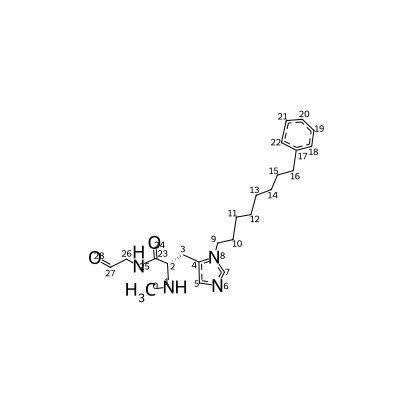 CN[C@@H](Cc1cncn1CCCCCCCCc1ccccc1)C(=O)NCC=O